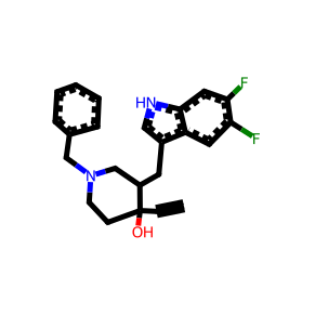 C#CC1(O)CCN(Cc2ccccc2)CC1Cc1c[nH]c2cc(F)c(F)cc12